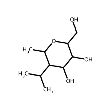 CC(C)C1C(C)OC(CO)C(O)C1O